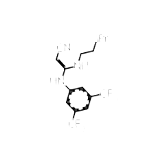 CC(C)CCN/C(=C\C#N)Nc1cc(C(F)(F)F)cc(C(F)(F)F)c1